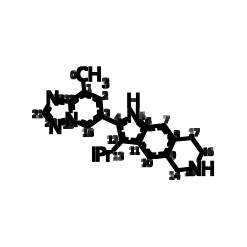 Cc1cc(-c2[nH]c3cc4c(cc3c2C(C)C)CNCC4)cn2ncnc12